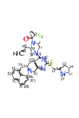 C=C(F)C(=O)N1CCN(c2nc(SCC3CCCN3C)nc3c2CCN(c2cccc4cccc(C)c24)C3)CC1CC#N